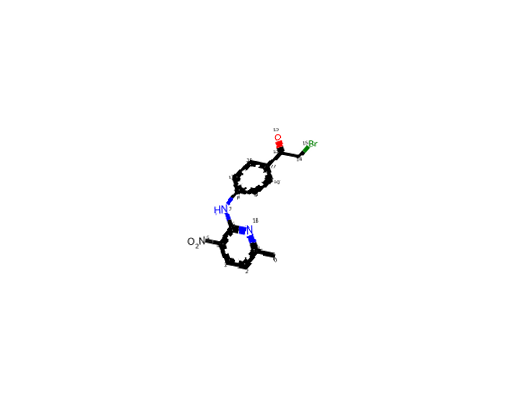 Cc1ccc([N+](=O)[O-])c(Nc2ccc(C(=O)CBr)cc2)n1